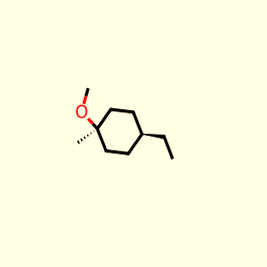 CC[C@H]1CC[C@@](C)(OC)CC1